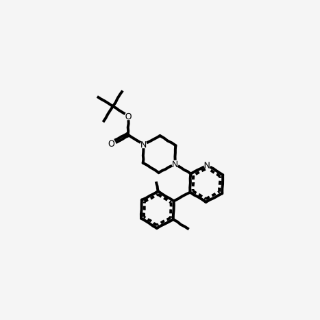 Cc1cccc(C)c1-c1cccnc1N1CCN(C(=O)OC(C)(C)C)CC1